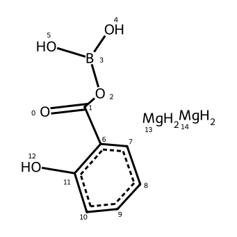 O=C(OB(O)O)c1ccccc1O.[MgH2].[MgH2]